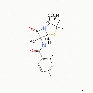 CC(=O)C1(NC(=O)c2ccc(C)cc2C)C(=O)N2[C@@H](C(=O)O)C(C)(C)S[C@@H]21